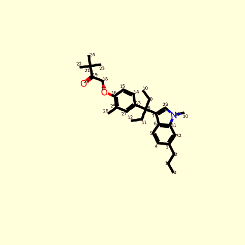 CCCc1ccc2c(C(CC)(CC)c3ccc(OCC(=O)C(C)(C)C)c(C)c3)cn(C)c2c1